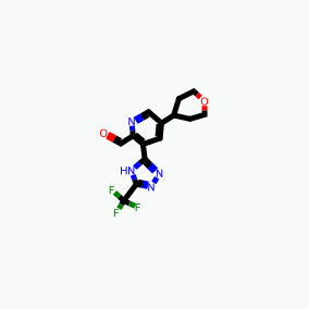 O=Cc1ncc(C2CCOCC2)cc1-c1nnc(C(F)(F)F)[nH]1